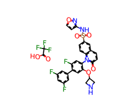 O=C(O)C(F)(F)F.O=c1ccc2cc(S(=O)(=O)Nc3ccon3)ccc2n1-c1cc(F)c(-c2cc(F)cc(F)c2)cc1OC1CNC1